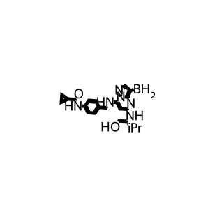 Bc1cnn2c(NCc3ccc(NC(=O)C4CC4)cc3)cc(N[C@@H](CO)C(C)C)nc12